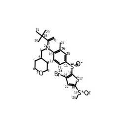 C=C(N(CC1CCOCC1)c1ccc([S+]([O-])c2sc([S+](C)[O-])cc2Br)cc1C)C(C)(C)C